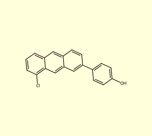 Oc1ccc(-c2c[c]c3cc4cccc(Cl)c4cc3c2)cc1